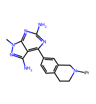 CC(C)N1CCc2ccc(-c3nc(N)nc4c3c(N)nn4C)cc2C1